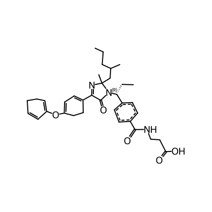 CCCC(C)CC1(C)N=C(C2=CC=C(OC3=CCCC=C3)CC2)C(=O)N1[C@H](CC)c1ccc(C(=O)NCCC(=O)O)cc1